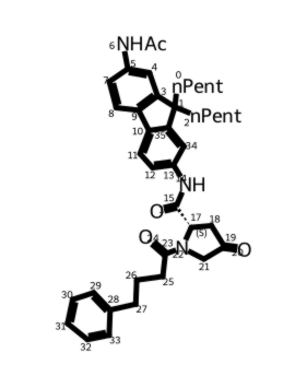 CCCCCC1(CCCCC)c2cc(NC(C)=O)ccc2-c2ccc(NC(=O)[C@@H]3CC(=O)CN3C(=O)CCCc3ccccc3)cc21